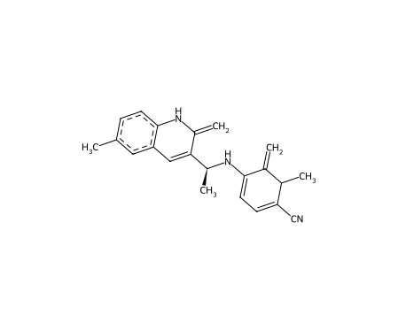 C=C1Nc2ccc(C)cc2C=C1[C@H](C)NC1=CC=C(C#N)C(C)C1=C